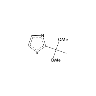 COC(C)(OC)c1nccs1